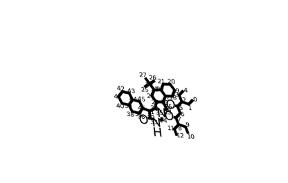 CCC(CC)C1CC(C(CC)CC)OC2(O1)C1C3CCCCC3C(C(C)(C)C)CC1C1C3C(NCN12)OC1CC2CCCCC2CC13